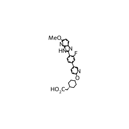 COc1ccc2nc(-c3ccc(-c4ccc(O[C@H]5CC[C@H](CC(=O)O)CC5)nc4)cc3F)[nH]c2n1